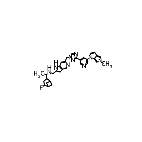 CC(NCc1cc2cnc(Cn3cnc(-c4cncc(-n5ccc6cn(C)cc65)c4)n3)cc2[nH]1)C1CC(F)C2CC1C2